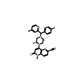 Cc1ccnc(C(c2ccc(F)cc2)N2C[C@H](C)N(c3cc(=O)n(C)c4ccc(C#N)nc34)C[C@H]2C)c1